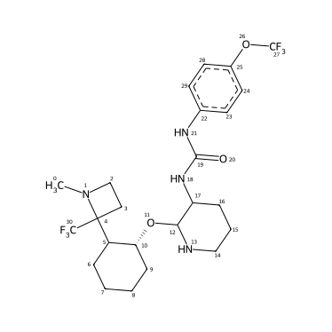 CN1CCC1(C1CCCC[C@H]1OC1NCCCC1NC(=O)Nc1ccc(OC(F)(F)F)cc1)C(F)(F)F